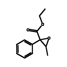 CCOC(=O)C1(c2ccccc2)OC1C